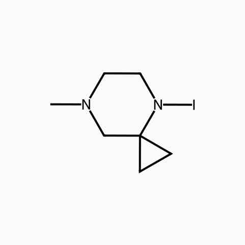 CN1CCN(I)C2(CC2)C1